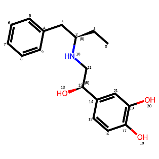 CC[C@H](Cc1ccccc1)NC[C@H](O)c1ccc(O)c(O)c1